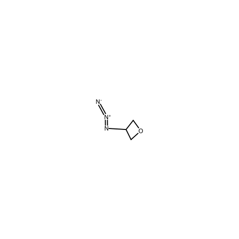 [N-]=[N+]=NC1COC1